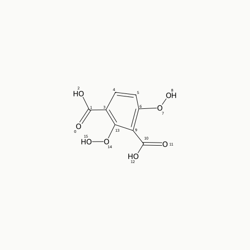 O=C(O)c1ccc(OO)c(C(=O)O)c1OO